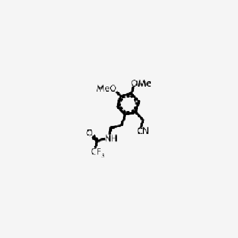 COc1cc(CC#N)c(CCNC(=O)C(F)(F)F)cc1OC